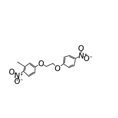 Cc1cc(OCCOc2ccc([N+](=O)[O-])cc2)ccc1[N+](=O)[O-]